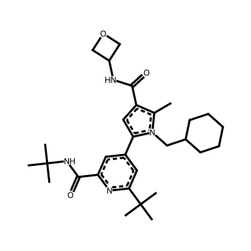 Cc1c(C(=O)NC2COC2)cc(-c2cc(C(=O)NC(C)(C)C)nc(C(C)(C)C)c2)n1CC1CCCCC1